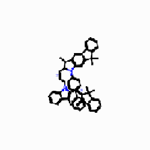 C=C1/C(=C\c2c(C)c3ccccc3n2C/C=C\C2C(C)c3cc4c(cc3N2c2ccc(-c3ccccc3)cc2)C(C)(C)c2ccccc2-4)C(C)(C)c2ccccc21